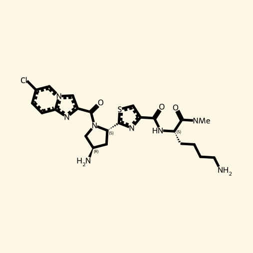 CNC(=O)[C@H](CCCCN)NC(=O)c1csc([C@@H]2C[C@@H](N)CN2C(=O)c2cn3cc(Cl)ccc3n2)n1